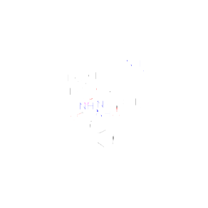 CC(=O)[C@H](CCCCN)N(N[C@@H](Cc1ccccc1)C(N)=O)C(=O)OC(C)(C)C